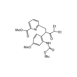 CCC(CC)C(=O)C(Cc1cccc(C(=O)OC)n1)c1ccc(OC)cc1NC(=O)OC(C)(C)C